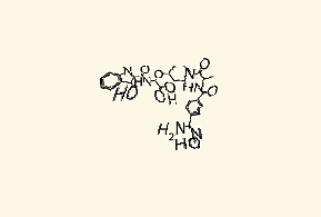 CC(NC(=O)c1ccc(/C(N)=N/O)cc1)C(=O)N1CCC(OC(NC(=O)C2=Nc3ccccc3C2O)C(=O)O)CC1